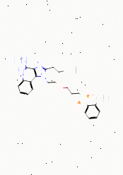 CCCc1nc2c(N)nc3ccccc3c2n1CCOCCCS(=O)(=O)c1ccccc1C